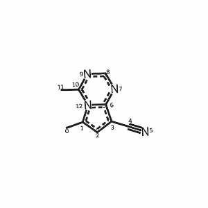 Cc1cc(C#N)c2ncnc(C)n12